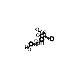 COC[C@@H](C)n1c(=O)c2cc(NC(=O)Nc3cccc(C(=O)N(C)C)c3)ccc2n(CCN2CCCCC2)c1=O